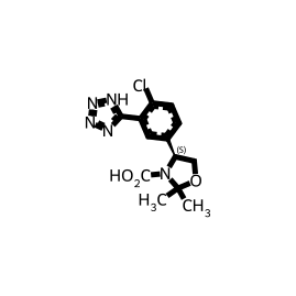 CC1(C)OC[C@H](c2ccc(Cl)c(-c3nnn[nH]3)c2)N1C(=O)O